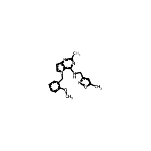 COc1ccccc1Cn1ccc2nc(C)nc(NCc3cc(C)on3)c21